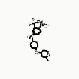 Cc1cc(OC2CCC(Nc3ccc([N+](=O)[O-])c(C(F)(F)F)c3)CC2)ccn1